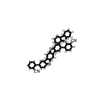 N#Cc1ccccc1-c1ccc2sc3cc4c(cc3c2c1)sc1ccc(-c2cccc(C#N)c2-n2c3ccccc3c3ccccc32)cc14